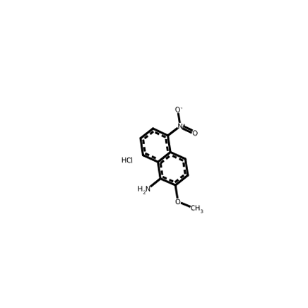 COc1ccc2c([N+](=O)[O-])cccc2c1N.Cl